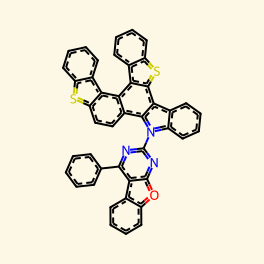 c1ccc(-c2nc(-n3c4ccccc4c4c5sc6ccccc6c5c5c(ccc6sc7ccccc7c65)c43)nc3oc4ccccc4c23)cc1